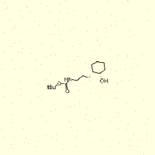 CC(C)(C)OC(=O)NCCC[C@@H]1CCCC[C@@H]1O